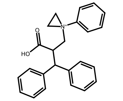 O=C(O)C(C[N+]1(c2ccccc2)CC1)C(c1ccccc1)c1ccccc1